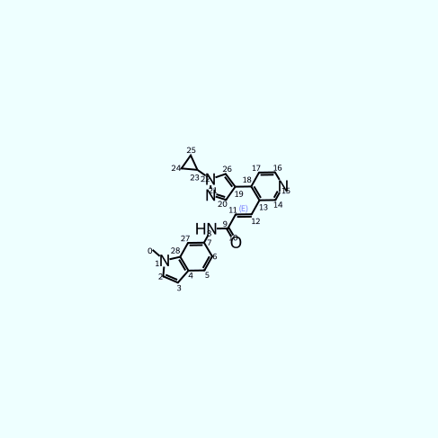 Cn1ccc2ccc(NC(=O)/C=C/c3cnccc3-c3cnn(C4CC4)c3)cc21